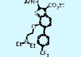 CCOC(=O)c1c(NC(C)=O)sc2c(OCCN(CC)CC)c(-c3ccc(C(F)(F)F)cc3)ccc12